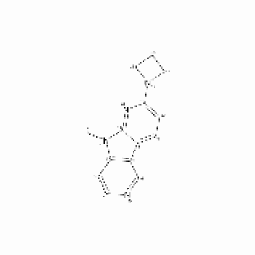 Cn1c2ccncc2c2ccc(N3CCC3)nc21